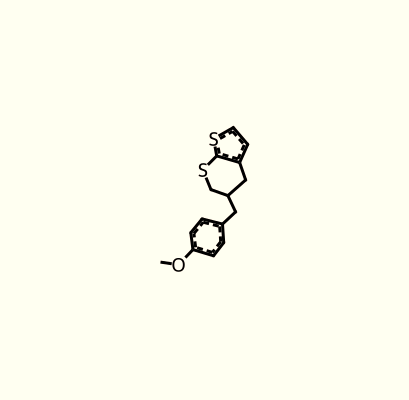 COc1ccc(CC2CSc3sccc3C2)cc1